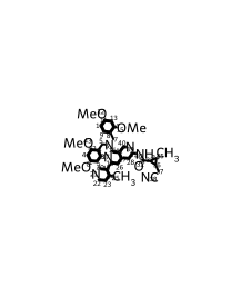 COc1ccc(CN(Cc2ccc(OC)cc2OC)c2nc(-c3cnccc3C)cc3cc(NC(=O)C4C(C)C4CC#N)ncc23)c(OC)c1